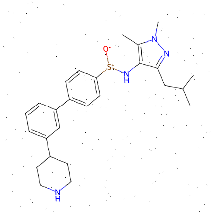 Cc1c(N[S+]([O-])c2ccc(-c3cccc(C4CCNCC4)c3)cc2)c(CC(C)C)nn1C